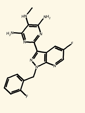 CNc1c(N)nc(-c2nn(Cc3ccccc3F)c3ncc(F)cc23)nc1N